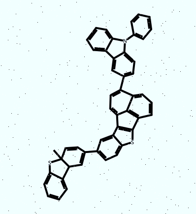 CC12C=CC(c3ccc4sc5c(c4c3)-c3ccc(-c4ccc6c(c4)c4ccccc4n6-c4ccccc4)c4cccc-5c34)=CC1c1ccccc1S2